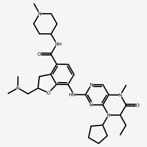 CCC1C(=O)N(C)c2cnc(Nc3ccc(C(=O)NC4CCN(C)CC4)c4c3OC(CN(C)C)C4)nc2N1C1CCCC1